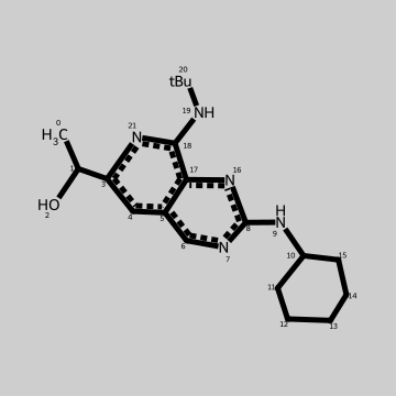 CC(O)c1cc2cnc(NC3CCCCC3)nc2c(NC(C)(C)C)n1